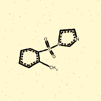 Cc1ccccc1S(=O)(=O)n1ccnc1